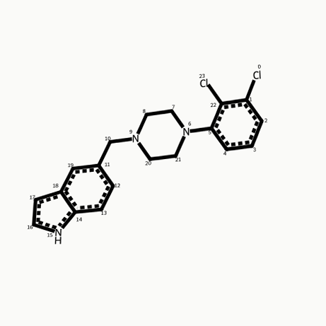 Clc1cccc(N2CCN(Cc3ccc4[nH]ccc4c3)CC2)c1Cl